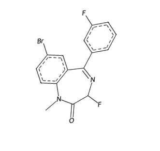 CN1C(=O)C(F)N=C(c2cccc(F)c2)c2cc(Br)ccc21